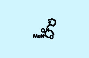 CNC1COCCN(CC2CCCCS2)C1=O